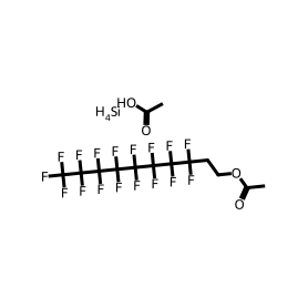 CC(=O)O.CC(=O)OCCC(F)(F)C(F)(F)C(F)(F)C(F)(F)C(F)(F)C(F)(F)C(F)(F)C(F)(F)F.[SiH4]